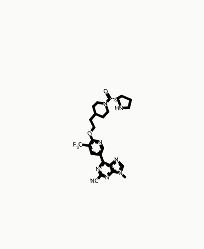 Cn1cnc2c(-c3cnc(OCCC4CCN(C(=O)[C@@H]5CCCN5)CC4)c(C(F)(F)F)c3)nc(C#N)nc21